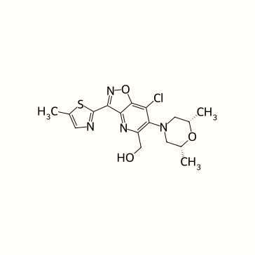 Cc1cnc(-c2noc3c(Cl)c(N4C[C@@H](C)O[C@@H](C)C4)c(CO)nc23)s1